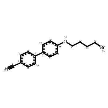 N#Cc1ccc(-c2ccc(OCCCCBr)cc2)cc1